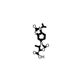 CC1[C@H](C(=O)O)OC(=O)N1c1ccc2c(c1)sc(=O)n2C(C)C